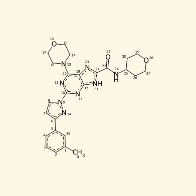 Cc1cccc(-c2ccn(-c3nc(N4CCOCC4)c4nc(C(=O)NC5CCOCC5)[nH]c4n3)n2)c1